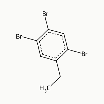 CCc1cc(Br)c(Br)cc1Br